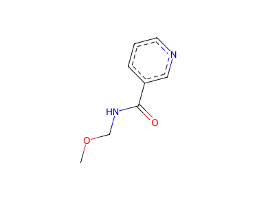 COCNC(=O)c1cccnc1